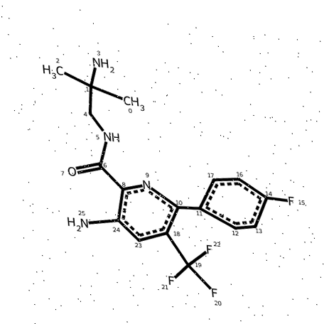 CC(C)(N)CNC(=O)c1nc(-c2ccc(F)cc2)c(C(F)(F)F)cc1N